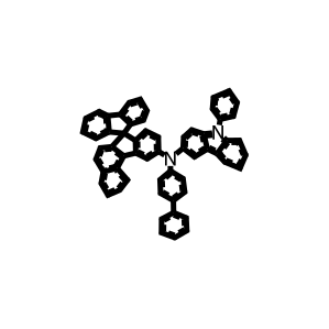 c1ccc(-c2ccc(N(c3ccc4c(c3)-c3c(ccc5ccccc35)C43c4ccccc4-c4ccccc43)c3ccc4c(c3)c3ccccc3n4-c3ccccc3)cc2)cc1